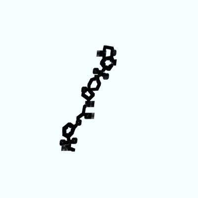 CNS(=O)(=O)c1cccc(OCC(O)CN[C@H]2COC3(CCN(S(=O)(=O)c4cnc5c(c4)NCCO5)CC3)C2)c1